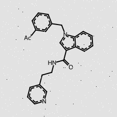 CC(=O)c1cccc(Cn2cc(C(=O)NCCc3cccnc3)c3ccccc32)c1